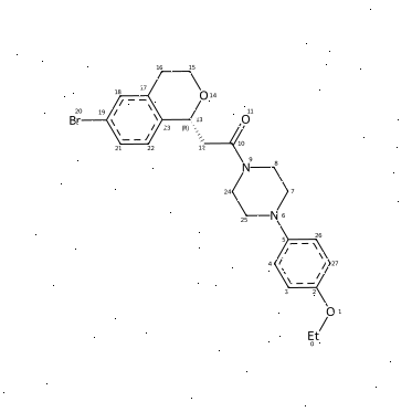 CCOc1ccc(N2CCN(C(=O)C[C@H]3OCCc4cc(Br)ccc43)CC2)cc1